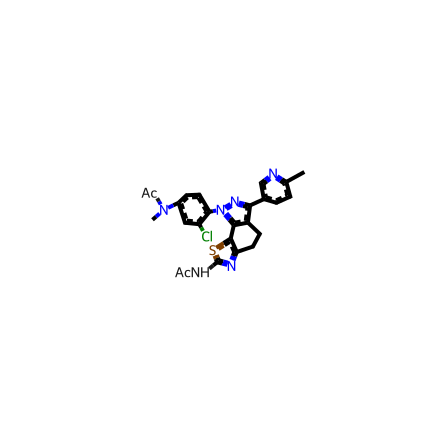 CC(=O)Nc1nc2c(s1)-c1c(c(-c3ccc(C)nc3)nn1-c1ccc(N(C)C(C)=O)cc1Cl)CC2